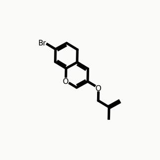 C=C(C)COC1=COC2=CC(Br)=CCC2=C1